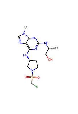 CCn1cnc2c(N[C@H]3CCN(S(=O)(=O)CF)C3)nc(N[C@@H](CO)C(C)C)nc21